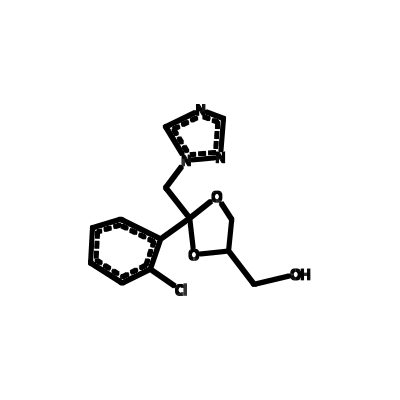 OCC1COC(Cn2cncn2)(c2ccccc2Cl)O1